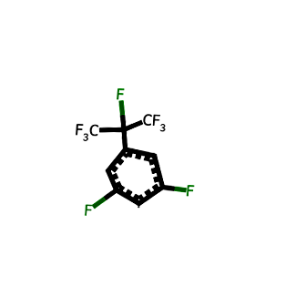 Fc1[c]c(F)cc(C(F)(C(F)(F)F)C(F)(F)F)c1